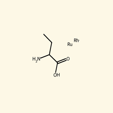 CCC(N)C(=O)O.[Rh].[Ru]